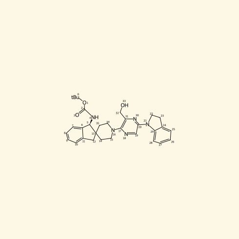 CC(C)(C)OC(=O)N[C@@H]1c2ccccc2CC12CCN(c1ncc(N3CCc4ccccc43)nc1CO)CC2